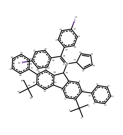 CC(C)(C)c1cc2c(cc1-c1ccccc1)[CH]([Zr](=[C](c1ccc(I)cc1)c1ccc(I)cc1)[CH]1C=CC=C1)c1cc(-c3ccccc3)c(C(C)(C)C)cc1-2